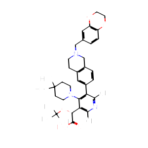 Cc1nc(C)c([C@H](OC(C)(C)C)C(=O)O)c(N2CCC(C)(C)CC2)c1-c1ccc2c(c1)CCN(Cc1ccc3c(c1)OCCO3)C2